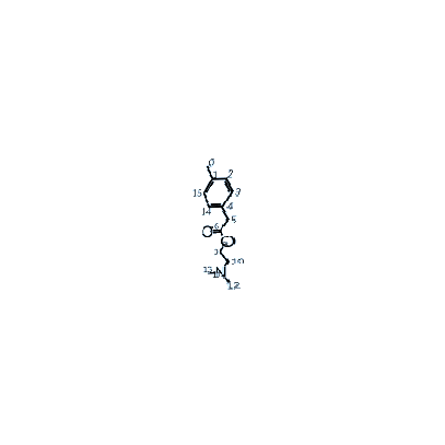 Cc1ccc(CC(=O)OCCN(C)C)cc1